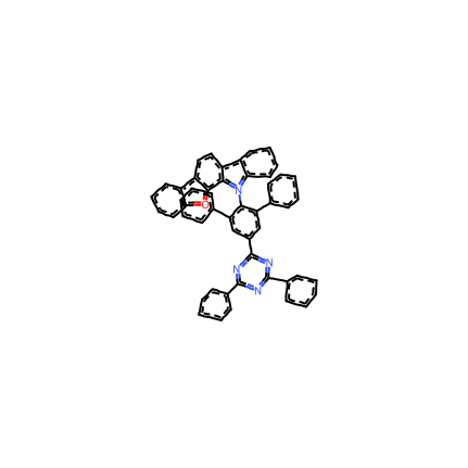 c1ccc(-c2nc(-c3ccccc3)nc(-c3cc(-c4ccccc4)c(-n4c5ccccc5c5ccc6c7ccccc7oc6c54)c(-c4ccccc4)c3)n2)cc1